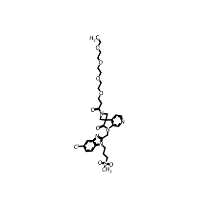 CCOCCOCCOCCOCCC(=O)N1CC2(C1)C(=O)N(Cc1nc3cc(Cl)ccc3n1CCCS(C)(=O)=O)c1cnccc12